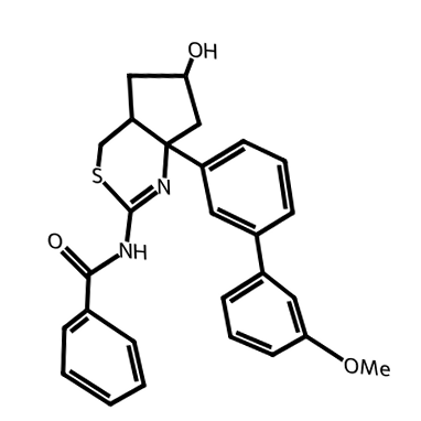 COc1cccc(-c2cccc(C34CC(O)CC3CSC(NC(=O)c3ccccc3)=N4)c2)c1